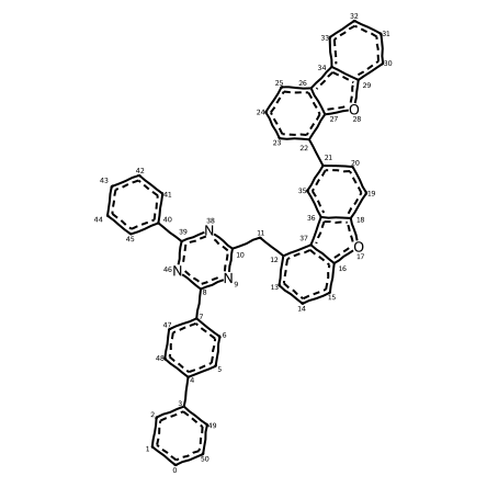 c1ccc(-c2ccc(-c3nc(Cc4cccc5oc6ccc(-c7cccc8c7oc7ccccc78)cc6c45)nc(-c4ccccc4)n3)cc2)cc1